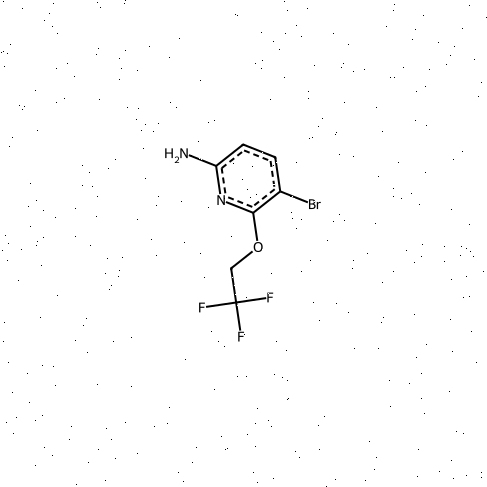 Nc1ccc(Br)c(OCC(F)(F)F)n1